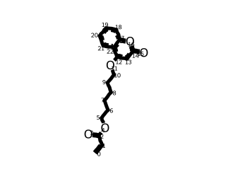 C=CC(=O)OCCCCCCOc1cc(=O)oc2ccccc12